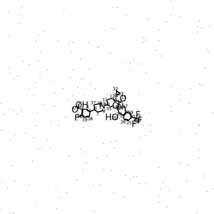 O=C(O)c1cc(C2CCN(C3CC[C@@](C(=O)N4Cc5cc(C(F)(F)F)ccc5[C@H](O)C4)(C4CC4)OC3)CC2)ccc1F